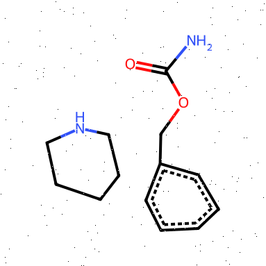 C1CCNCC1.NC(=O)OCc1ccccc1